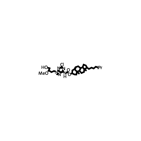 COC(CO)CCn1cnc2c(NC(=O)OC3CCC4(C)C(=CCC5C4CCC4(C)C(CCCCC(C)C)CCC54)C3)nc(Cl)nc21